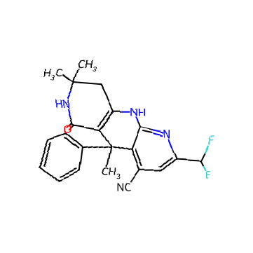 CC1(C)CC2=C(C(=O)N1)C(C)(c1ccccc1)c1c(C#N)cc(C(F)F)nc1N2